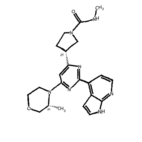 CNC(=O)N1CC[C@@H](c2cc(N3CCOC[C@H]3C)nc(-c3ccnc4[nH]ccc34)n2)C1